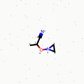 [CH2]C(C#N)ON1CC1